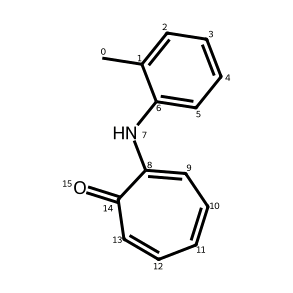 Cc1ccccc1Nc1cccccc1=O